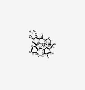 O=C1c2c(OP)c(=O)ccn2N([C@@H]2c3ccccc3SCc3c2ccc(F)c3F)[C@@H]2CC3(CCN12)CC3